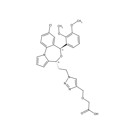 COc1cccc([C@H]2O[C@H](CCn3cc(COCC(=O)O)nn3)c3cccn3-c3ccc(Cl)cc32)c1OC